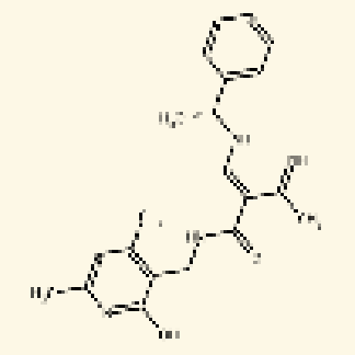 CC(=N)/C(=C\N[C@H](C)c1ccccc1)C(=O)NCc1c(C)cc(C)nc1O